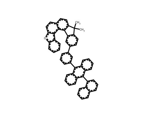 CC1(C)c2ccc(-c3cccc(-c4c5ccccc5c(-c5cccc6ccccc56)c5ccccc45)c3)cc2-c2c1ccc1ccc3oc4ccccc4c3c21